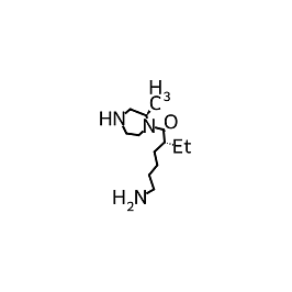 CC[C@H](CCCCN)C(=O)N1CCNC[C@H]1C